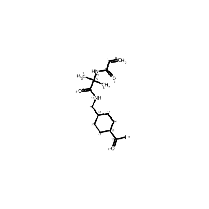 C=CC(=O)NC(C)(C)C(=O)NCC1CCC(C(=O)I)CC1